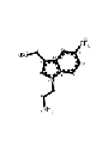 CC(C)(C)Cc1cn(CCN)c2ccc(C(F)(F)F)cc12